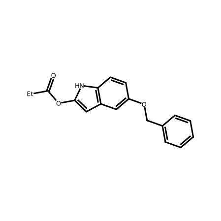 CCC(=O)Oc1cc2cc(OCc3ccccc3)ccc2[nH]1